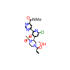 C=CC(=O)N1CCN(S(C)(=O)=O)[C@@H](c2cc(Cl)nc(-c3cc(C(=O)NC)ncn3)c2)[C@@H]1CO